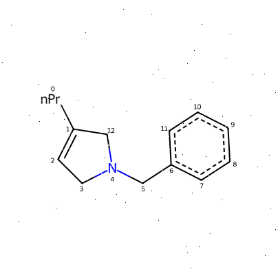 [CH2]CCC1=CCN(Cc2ccccc2)C1